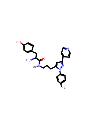 CC(=O)N(CCCc1cc(-c2ccncc2)nn1-c1ccc(C(C)(C)C)cc1)C(=O)C(N)Cc1ccc(O)cc1